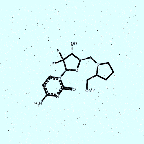 COCC1CCCN1C[C@H]1O[C@@H](n2ccc(N)nc2=O)C(F)(F)[C@@H]1O